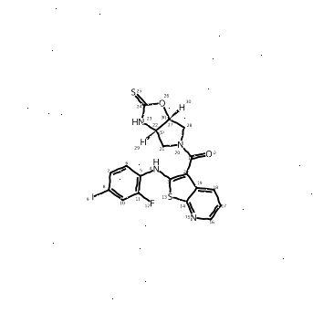 O=C(c1c(Nc2ccc(I)cc2F)sc2ncccc12)N1C[C@@H]2NC(=S)O[C@@H]2C1